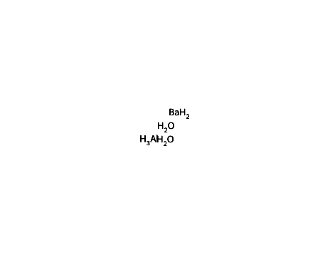 O.O.[AlH3].[BaH2]